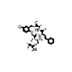 CCNC(=O)COc1ccc(Cl)cc1CNC(=O)[C@H](C)NC(=O)[C@H](N)CCc1ccccc1.O=C(O)C(F)(F)F